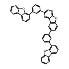 c1cc(-c2ccc3oc4ncc(-c5cccc(-c6cccc7c6oc6ccccc67)c5)nc4c3c2)cc(-c2cccc3c2oc2ccccc23)c1